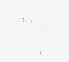 Ic1c2ccccc2c(-c2cccc(-n3c(-c4ccc5ccccc5c4)nc4ccccc43)c2)c2ccccc12